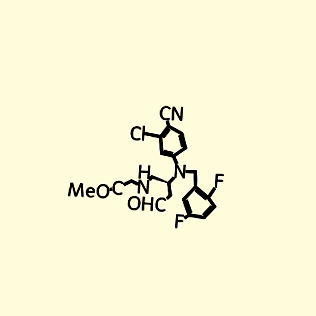 COCCNC[C@H](CC=O)N(Cc1cc(F)ccc1F)c1ccc(C#N)c(Cl)c1